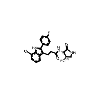 O=C(CCc1c(-c2ccc(F)cc2)[nH]c2c(Cl)cccc12)N[C@@H]1C(=O)NC[C@H]1O